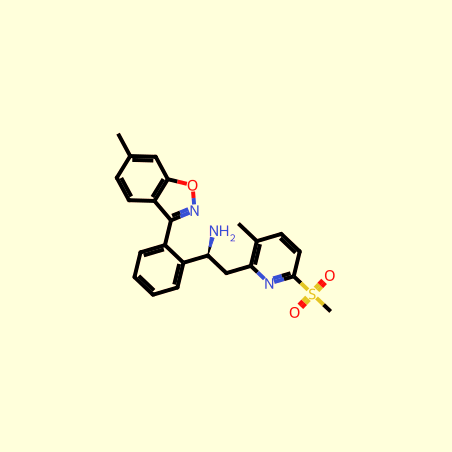 Cc1ccc2c(-c3ccccc3[C@@H](N)Cc3nc(S(C)(=O)=O)ccc3C)noc2c1